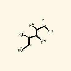 C[C@H](O)C(O)C(O)[C@H](N)CO